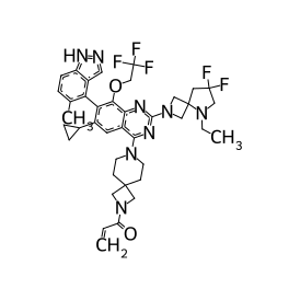 C=CC(=O)N1CC2(CCN(c3nc(N4CC5(C4)CC(F)(F)CN5CC)nc4c(OCC(F)(F)F)c(-c5c(C)ccc6[nH]ncc56)c(C5CC5)cc34)CC2)C1